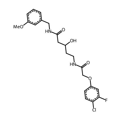 COc1cccc(CNC(=O)CC(O)CCNC(=O)COc2ccc(Cl)c(F)c2)c1